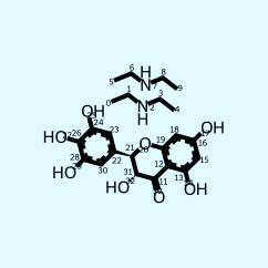 CCNCC.CCNCC.O=C1c2c(O)cc(O)cc2O[C@H](c2cc(O)c(O)c(O)c2)[C@H]1O